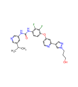 CC(C)c1cncc(NC(=O)Nc2ccc(Oc3ccnc(-c4cnn(CCCO)c4)c3)c(F)c2F)c1